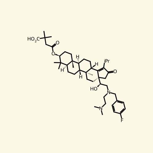 CC(C)C1=C2[C@H]3CC[C@H]4[C@@H](CC[C@H]5C(C)(C)[C@@H](OC(=O)CC(C)(C)C(=O)O)CC[C@]45C)[C@]3(C)CC[C@@]2([C@H](O)CN(CCN(C)C)Cc2ccc(F)cc2)CC1=O